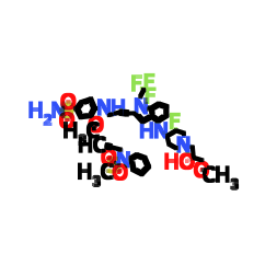 C#CCN(c1ccccc1)S(C)(=O)=O.COC[C@H](O)CN1CC[C@H](Nc2cccc3c2cc(C#CCNc2ccc(S(N)(=O)=O)cc2OC)n3CC(F)(F)F)[C@H](F)C1